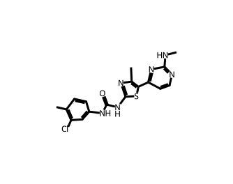 CNc1nccc(-c2sc(NC(=O)Nc3ccc(C)c(Cl)c3)nc2C)n1